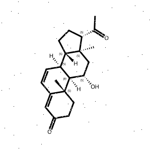 CC(=O)[C@H]1CC[C@H]2[C@@H]3C=CC4=CC(=O)CC[C@@]4(C)[C@@H]3[C@@H](O)C[C@]12C